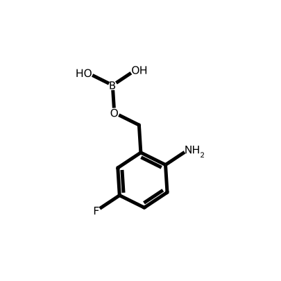 Nc1ccc(F)cc1COB(O)O